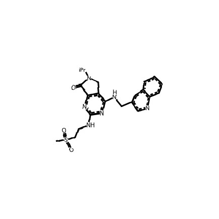 CC(C)N1Cc2c(NCc3cnc4ccccc4c3)nc(NCCS(C)(=O)=O)nc2C1=O